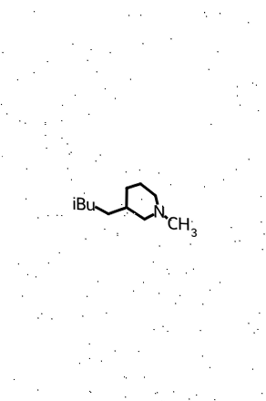 CCC(C)CC1CCCN(C)C1